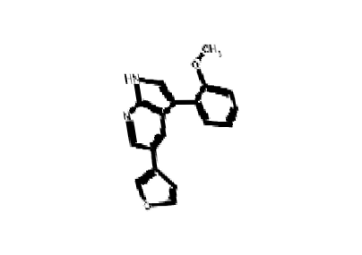 COc1ccccc1-c1c[nH]c2ncc(-c3ccoc3)cc12